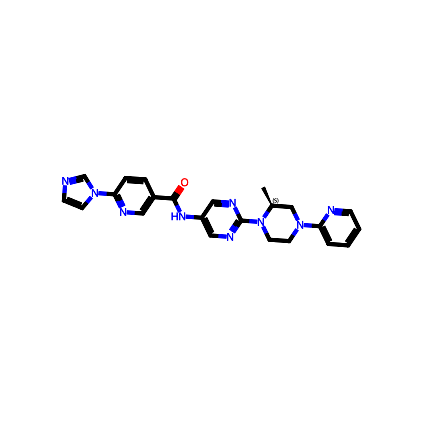 C[C@H]1CN(c2ccccn2)CCN1c1ncc(NC(=O)c2ccc(-n3ccnc3)nc2)cn1